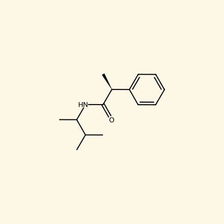 CC(C)C(C)NC(=O)[C@@H](C)c1ccccc1